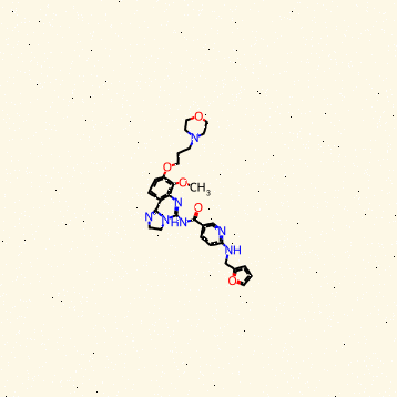 COc1c(OCCCN2CCOCC2)ccc2c1N=C(NC(=O)c1ccc(NCc3ccco3)nc1)N1CCN=C21